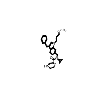 COCCCn1cc(Cc2ccccc2)c2ccc(CN(C(=O)[C@H]3CNCCO3)C3CC3)cc21